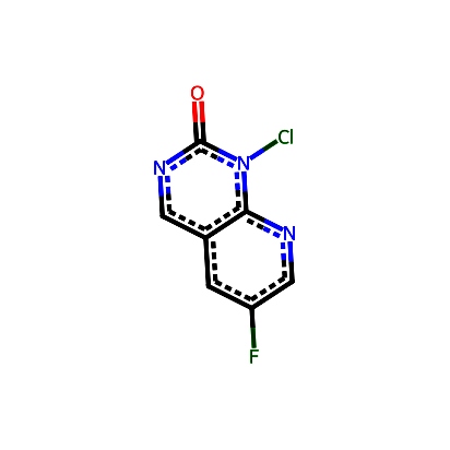 O=c1ncc2cc(F)cnc2n1Cl